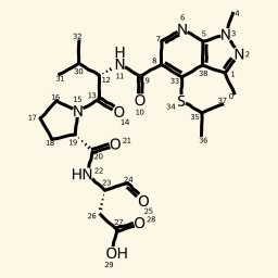 Cc1nn(C)c2ncc(C(=O)N[C@H](C(=O)N3CCC[C@H]3C(=O)N[C@H](C=O)CC(=O)O)C(C)C)c(SC(C)C)c12